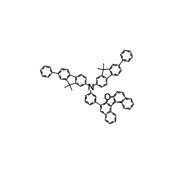 CC1(C)c2cc(-c3ccccc3)ccc2-c2ccc(N(c3cccc(-c4cc5ccccc5c5c4oc4ccc6ccccc6c45)c3)c3ccc4c(c3)C(C)(C)c3cc(-c5ccccc5)ccc3-4)cc21